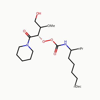 CCCCCCCCCCCCCCC(CCC)NC(=O)OO[C@H](C(=O)N1CCCCC1)C(CO)OC